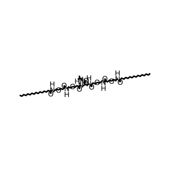 CCCCCCCCCCCCCCCC(=O)NCCOCCC(=O)NCCOCCC(=O)NCC(CNC(=O)CCOCCNC(=O)CCOCCNC(=O)CCCCCCCCCCCCCCC)C(=O)NCC(C)C